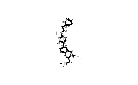 CN(Cc1cccc(-c2cnc(NCCc3cccnc3)nc2)c1)C(=O)CN